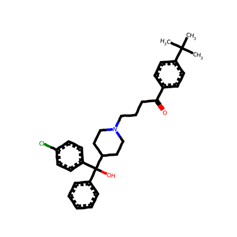 CC(C)(C)c1ccc(C(=O)CCCN2CCC(C(O)(c3ccccc3)c3ccc(Cl)cc3)CC2)cc1